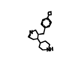 Clc1ccc(C[C@@H]2CN=CCC2C2CCNCC2)cc1